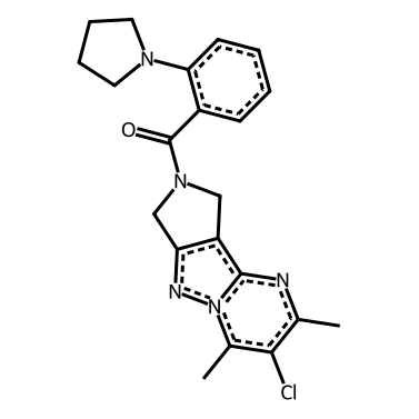 Cc1nc2c3c(nn2c(C)c1Cl)CN(C(=O)c1ccccc1N1CCCC1)C3